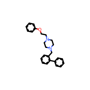 c1ccc(OCCN2CCN(Cc3ccccc3-c3ccccc3)CC2)cc1